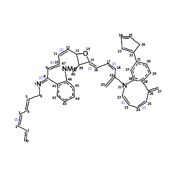 C=C/C=C\C=CC/N=C(/C=C/C=C\C1O/C(=C\C=C/C(=C)N2/C=C\C=C/C(=C)c3ccc(C4=CC=CC4)cc32)C1C)c1ccccc1NC